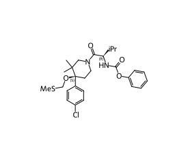 CSCO[C@]1(c2ccc(Cl)cc2)CCN(C(=O)[C@H](NC(=O)Oc2ccccc2)C(C)C)CC1(C)C